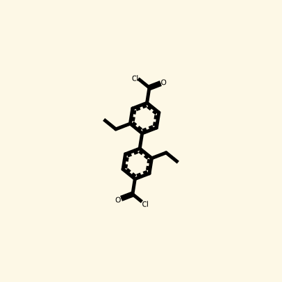 CCc1cc(C(=O)Cl)ccc1-c1ccc(C(=O)Cl)cc1CC